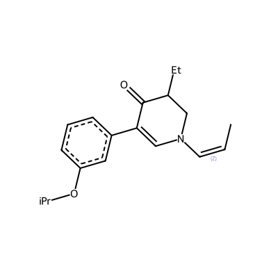 C/C=C\N1C=C(c2cccc(OC(C)C)c2)C(=O)C(CC)C1